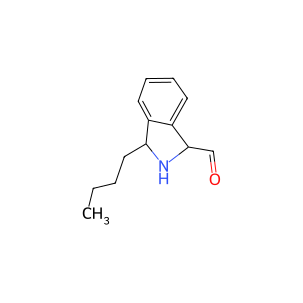 CCCCC1NC(C=O)c2ccccc21